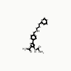 NC(=O)Nc1cc(-c2ccc(CNCCCc3ccccn3)cc2)sc1C(N)=O